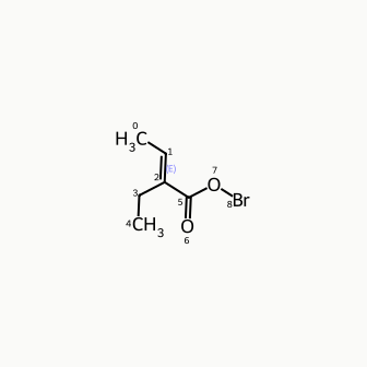 C/C=C(\CC)C(=O)OBr